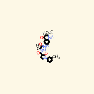 Cc1cccc(N2CCC(C(=O)N[C@@H](C)C(=O)Nc3ccc4[nH]cc(C(=O)O)c(=O)c4c3)C2=O)c1